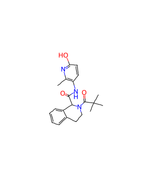 Cc1nc(O)ccc1NC(=O)C1c2ccccc2CCN1C(=O)C(C)(C)C